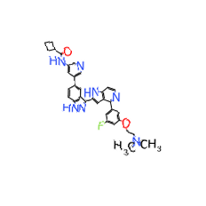 CN(C)CCOc1cc(F)cc(-c2nccc3[nH]c(-c4n[nH]c5ccc(-c6cncc(NC(=O)C7CCC7)c6)cc45)cc23)c1